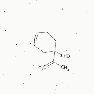 C=C(C)C1(C=O)CC=CCC1